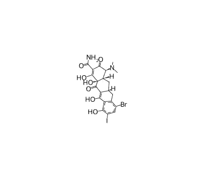 CN(C)[C@@H]1C(=O)C(C(N)=O)=C(O)[C@@]2(O)C(=O)C3=C(O)c4c(O)c(I)cc(Br)c4C[C@H]3C[C@@H]12